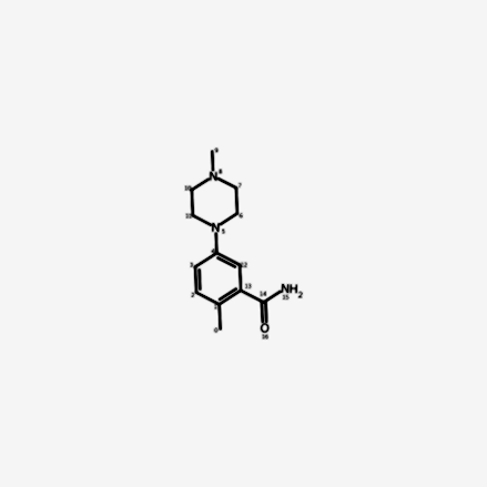 Cc1ccc(N2CCN(C)CC2)cc1C(N)=O